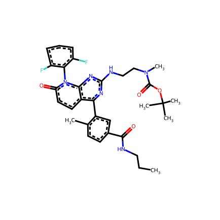 CCCNC(=O)c1ccc(C)c(-c2nc(NCCN(C)C(=O)OC(C)(C)C)nc3c2ccc(=O)n3-c2c(F)cccc2F)c1